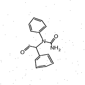 NC(=O)N(c1ccccc1)C([C]=O)c1ccccc1